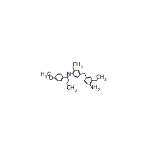 CCC/C(=N\c1ccc(Cc2ccc(N)c(CC)c2)cc1CC)c1ccc(OC)cc1